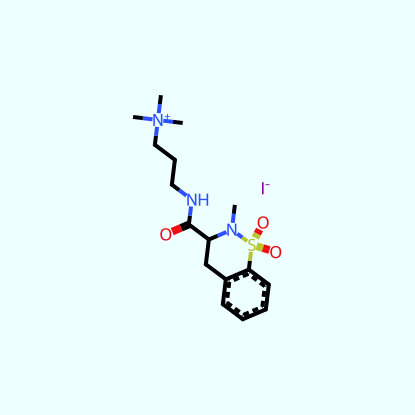 CN1C(C(=O)NCCC[N+](C)(C)C)Cc2ccccc2S1(=O)=O.[I-]